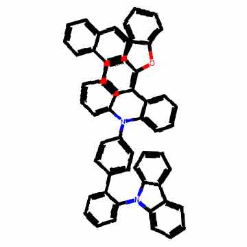 c1cc(-c2cccc3ccccc23)cc(N(c2ccc(-c3ccccc3-n3c4ccccc4c4ccccc43)cc2)c2ccccc2-c2cccc3c2oc2ccccc23)c1